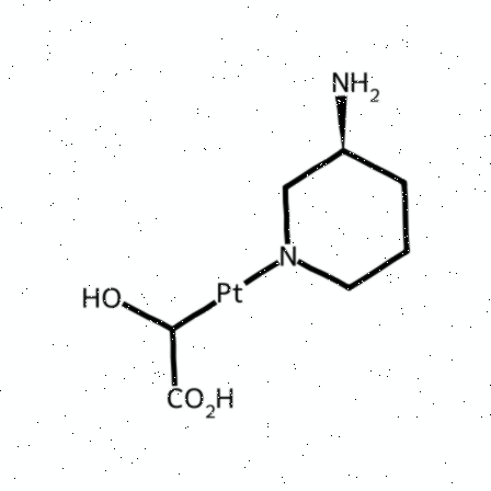 N[C@H]1CCC[N]([Pt][CH](O)C(=O)O)C1